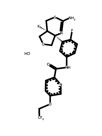 Cl.NC1=N[C@@]2(c3cc(NC(=O)c4ccc(OCC(F)(F)F)cn4)ccc3F)COC[C@@]2(F)CS1